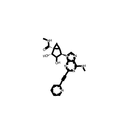 CNC(=O)[C@]12CC1[C@@H](n1cnc3c(NC)nc(C#Cc4ccccn4)nc31)C(O)[C@@H]2O